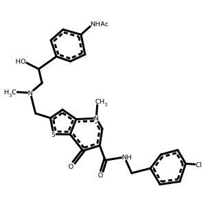 CC(=O)Nc1ccc(C(O)CN(C)Cc2cc3c(s2)c(=O)c(C(=O)NCc2ccc(Cl)cc2)cn3C)cc1